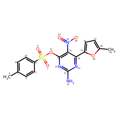 Cc1ccc(S(=O)(=O)Oc2nc(N)nc(-c3ccc(C)o3)c2[N+](=O)[O-])cc1